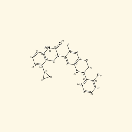 Cc1cc2c(cc1N1Cc3c(ccnc3C3CC3)NC1=O)OC(c1ncccc1F)CC2